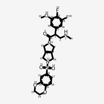 CNCC(C(=O)N1CC2=C(C1)CN(S(=O)(=O)c1ccc3c(c1)OCCO3)C2)c1cc(F)c(F)c(OC)c1